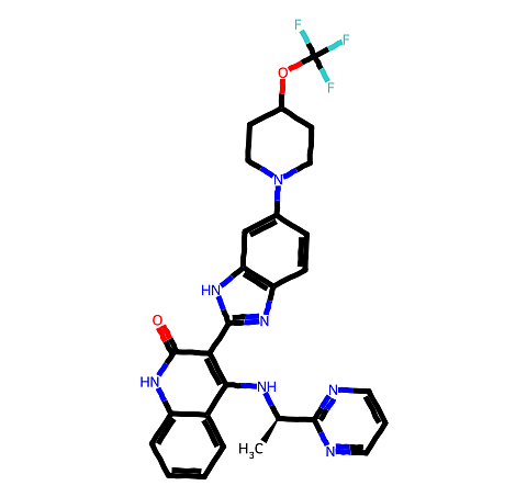 C[C@@H](Nc1c(-c2nc3ccc(N4CCC(OC(F)(F)F)CC4)cc3[nH]2)c(=O)[nH]c2ccccc12)c1ncccn1